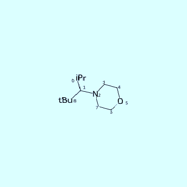 CC(C)C(N1CCOCC1)C(C)(C)C